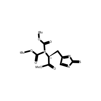 COC(=O)[C@H](CC1=NC(=S)N=C1)N(C(=O)OC(C)(C)C)C(=O)OC(C)(C)C